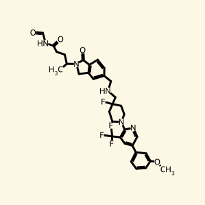 COc1cccc(-c2cnc(N3CCC(F)(CNCc4ccc5c(c4)CN(C(C)CCC(=O)NC=O)C5=O)CC3)c(C(F)(F)F)c2)c1